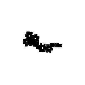 CC(=O)Nc1cccc(C2CCN(CCCNC(=O)C(c3ccccc3)(c3ccccc3)c3ccccc3)CC2)c1